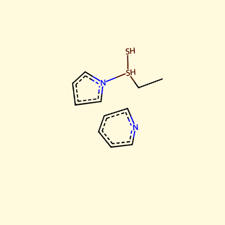 CC[SH](S)n1cccc1.c1ccncc1